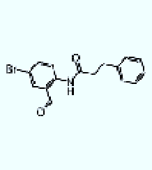 O=Cc1cc(Br)ccc1NC(=O)CCc1ccccc1